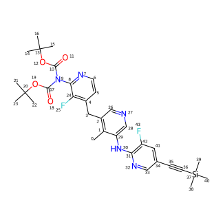 Cc1c(Cc2ccnc(N(C(=O)OC(C)(C)C)C(=O)OC(C)(C)C)c2F)cncc1Nc1ncc(C#C[Si](C)(C)C)cc1F